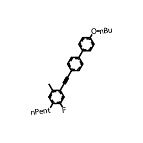 CCCCCc1cc(C)c(C#Cc2ccc(-c3ccc(OCCCC)cc3)cc2)cc1F